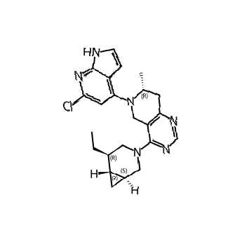 CC[C@H]1CN(c2ncnc3c2CN(c2cc(Cl)nc4[nH]ccc24)[C@H](C)C3)C[C@H]2C[C@@H]21